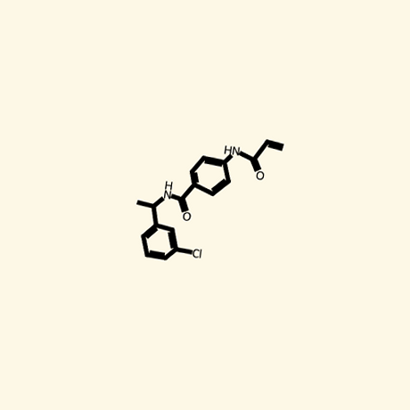 C=CC(=O)Nc1ccc(C(=O)NC(C)c2cccc(Cl)c2)cc1